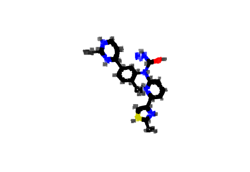 Cc1nc(-c2cccc(N(C(N)=O)c3cc(-c4ccnc(C(C)(C)C)n4)ccc3C)n2)cs1